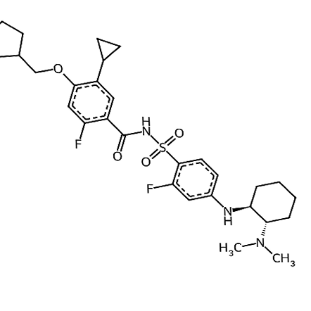 CN(C)[C@H]1CCCC[C@@H]1Nc1ccc(S(=O)(=O)NC(=O)c2cc(C3CC3)c(OCC3CCCC3)cc2F)c(F)c1